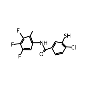 Cc1c(NC(=O)c2ccc(Cl)c(S)c2)cc(F)c(F)c1F